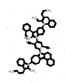 C=C/C=C\c1c(C)n(C2=CCc3c(n(C/C=C(C#N)\C(=C/C(=C)C#N)n4c(C)c(-c5ccccc5C=C)c5cc(N6C(C=C)=C(/C=C\C)Cc7ccccc76)ccc54)c4ccc5ccccc5c34)C=C2)c2ccccc12